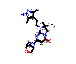 Cc1n[nH]c(C)c1CCN1c2nc(N3CC4CC3CO4)cc(=O)n2CC1(C)C(F)(F)F